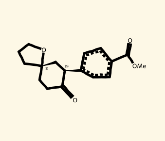 COC(=O)c1ccc([C@@H]2C[C@]3(CCCO3)CCC2=O)cc1